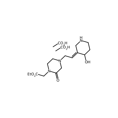 CC(=O)O.CC(=O)O.CCOC(=O)CN1CCN(C/C=C2\CNCCC2O)CC1=O